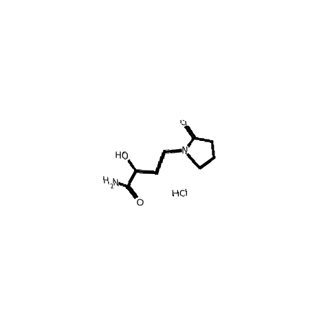 Cl.NC(=O)C(O)CCN1CCCC1=O